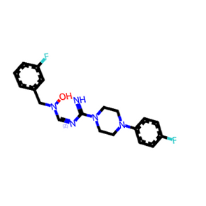 N=C(/N=C\N(O)Cc1cccc(F)c1)N1CCN(c2ccc(F)cc2)CC1